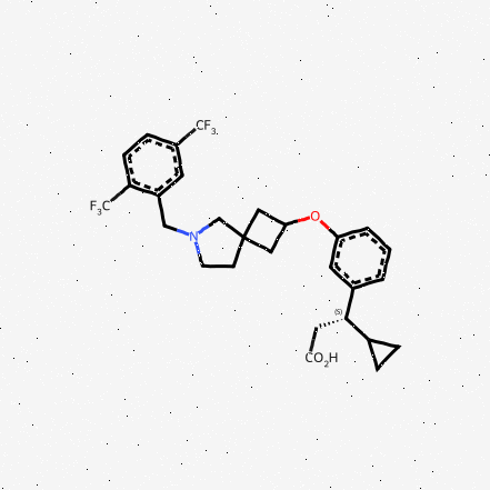 O=C(O)C[C@H](c1cccc(OC2CC3(CCN(Cc4cc(C(F)(F)F)ccc4C(F)(F)F)C3)C2)c1)C1CC1